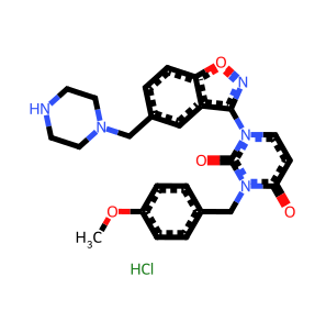 COc1ccc(Cn2c(=O)ccn(-c3noc4ccc(CN5CCNCC5)cc34)c2=O)cc1.Cl